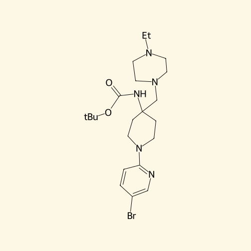 CCN1CCN(CC2(NC(=O)OC(C)(C)C)CCN(c3ccc(Br)cn3)CC2)CC1